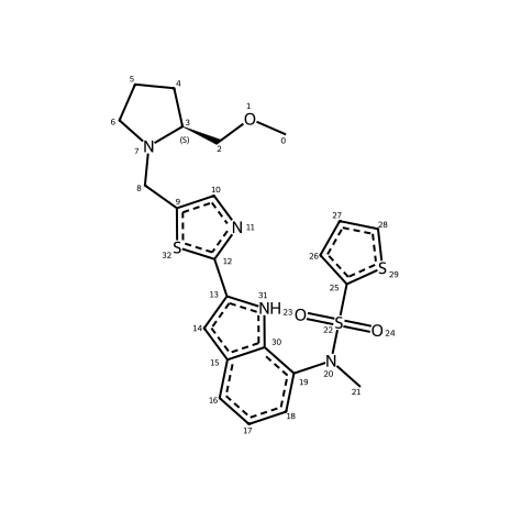 COC[C@@H]1CCCN1Cc1cnc(-c2cc3cccc(N(C)S(=O)(=O)c4cccs4)c3[nH]2)s1